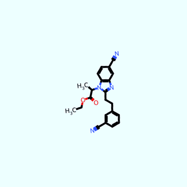 CCOC(=O)C(C)n1c(CCc2cccc(C#N)c2)nc2cc(C#N)ccc21